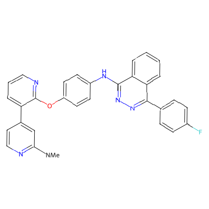 CNc1cc(-c2cccnc2Oc2ccc(Nc3nnc(-c4ccc(F)cc4)c4ccccc34)cc2)ccn1